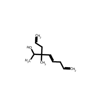 C=CC/C=C/C(C)(CC=C)C(C)O